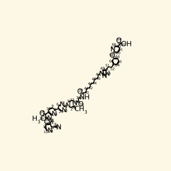 C[C@@H]1CN(c2ncc(-c3ccc4c(n3)N(Cc3cccnc3C#N)C(C)(C)C4=O)cn2)CCN1C(=O)CNC(=O)CCCCCCCCn1cc(CCc2cccc(Oc3ccc(C(=O)O)cn3)c2)nn1